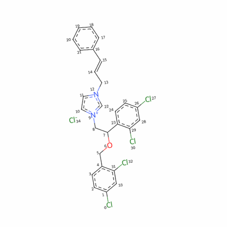 Clc1ccc(COC(C[n+]2ccn(CC=Cc3ccccc3)c2)c2ccc(Cl)cc2Cl)c(Cl)c1.[Cl-]